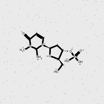 CN1C(=O)C=CN([C@H]2C[C@H](OP(=O)(O)O)[C@@H](CO)O2)C1N